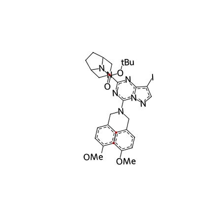 COc1ccc(CN(Cc2ccc(OC)cc2)c2nc(N3CC4CCC(C3)N4C(=O)OC(C)(C)C)nc3c(I)cnn23)cc1